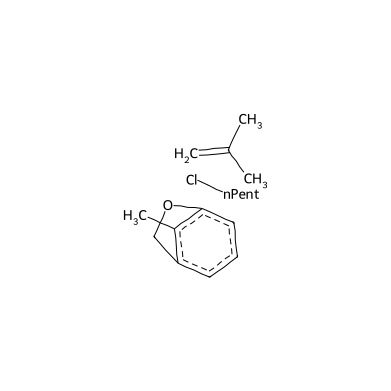 C=C(C)C.CCCCCCl.Cc1c2cccc1OC2